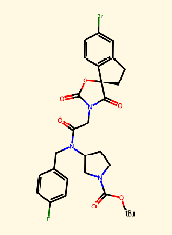 CC(C)(C)OC(=O)N1CCC(N(Cc2ccc(F)cc2)C(=O)CN2C(=O)O[C@@]3(CCc4cc(Br)ccc43)C2=O)C1